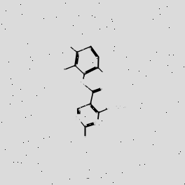 COc1nc(Cl)ncc1C(=O)Nc1c(F)ccc(F)c1Cl